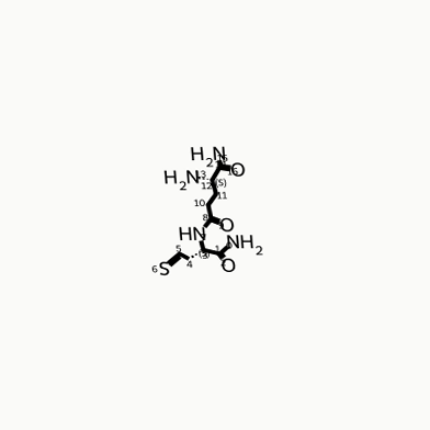 NC(=O)[C@H](CC=S)NC(=O)CC[C@H](N)C(N)=O